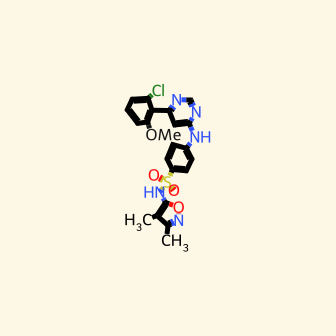 COc1cccc(Cl)c1-c1cc(Nc2ccc(S(=O)(=O)Nc3onc(C)c3C)cc2)ncn1